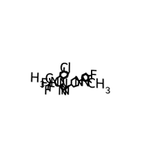 Cc1nc(N2CCC(c3nnc4n3-c3ccc(Cl)cc3CN(C(C)C(F)(F)F)C4)CC2)ccc1F